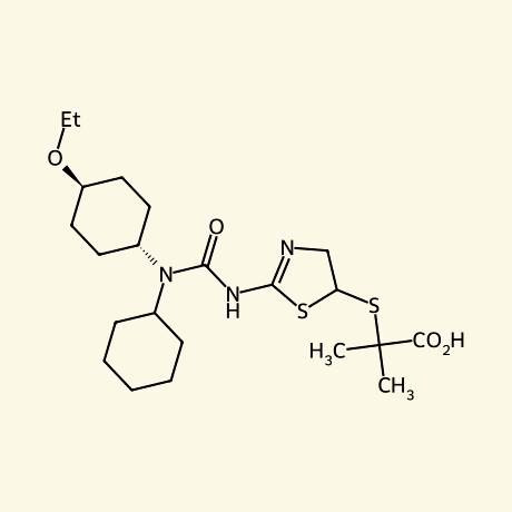 CCO[C@H]1CC[C@H](N(C(=O)NC2=NCC(SC(C)(C)C(=O)O)S2)C2CCCCC2)CC1